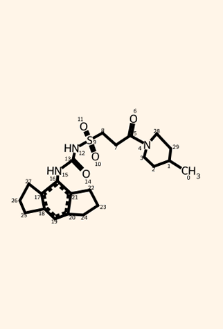 CC1CCN(C(=O)CCS(=O)(=O)NC(=O)Nc2c3c(cc4c2CCC4)CCC3)CC1